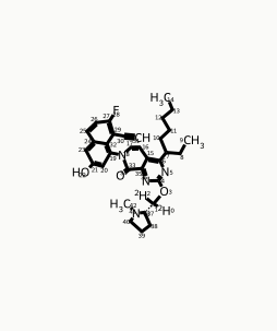 [2H]C([2H])(Oc1nc(C(CC)CCCCC)c2ccn(-c3cc(O)cc4ccc(F)c(C#C)c34)c(=O)c2n1)[C@@H]1CCCN1C